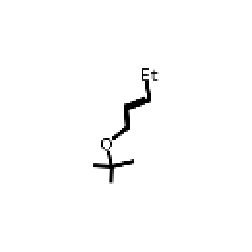 CC/C=C/COC(C)(C)C